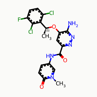 C[C@H](Oc1cc(C(=O)Nc2ccc(=O)n(C)c2)nnc1N)c1c(Cl)ccc(F)c1Cl